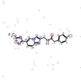 O=C(Cc1ccc(Cl)cc1)NCc1cn2cc(-c3noc(C(F)(F)F)n3)ccc2n1